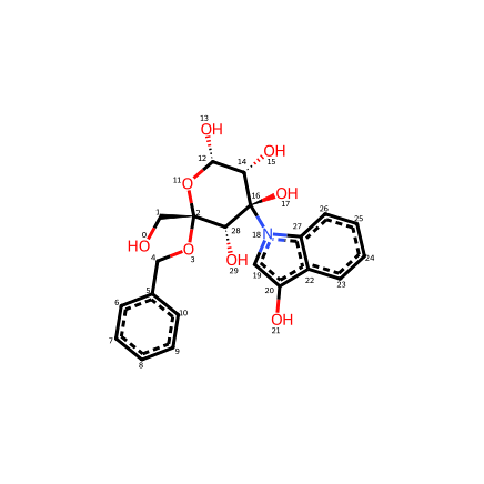 OC[C@@]1(OCc2ccccc2)O[C@H](O)[C@H](O)[C@](O)(n2cc(O)c3ccccc32)[C@@H]1O